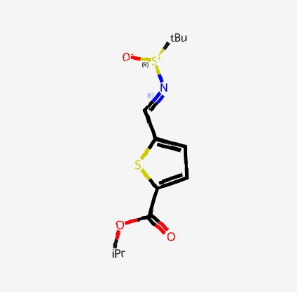 CC(C)OC(=O)c1ccc(/C=N/[S@@+]([O-])C(C)(C)C)s1